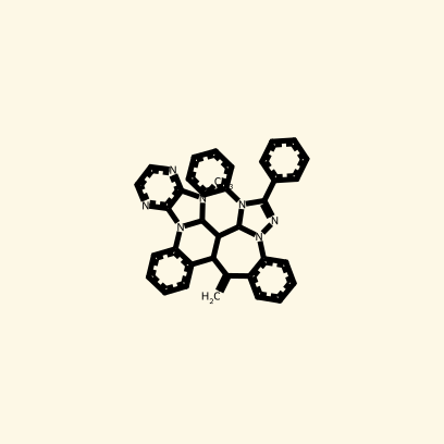 C=C1c2ccccc2N2N=C(c3ccccc3)N(c3ccccc3)C2C2C1c1ccccc1N1c3nccnc3N(C)C21